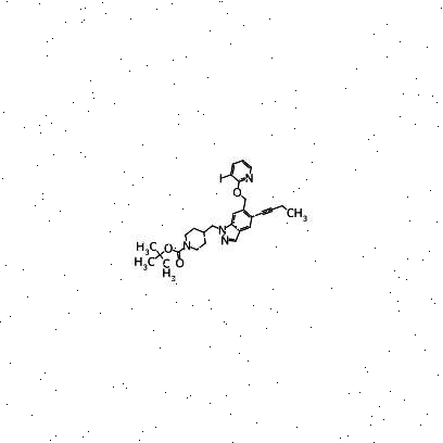 CCC#Cc1cc2cnn(CC3CCN(C(=O)OC(C)(C)C)CC3)c2cc1COc1ncccc1I